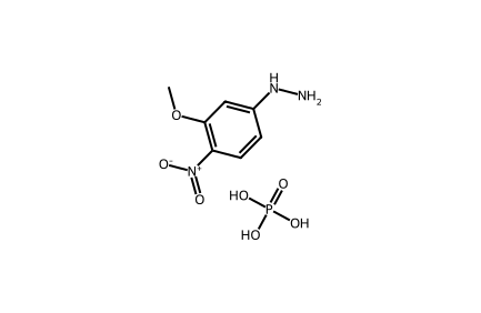 COc1cc(NN)ccc1[N+](=O)[O-].O=P(O)(O)O